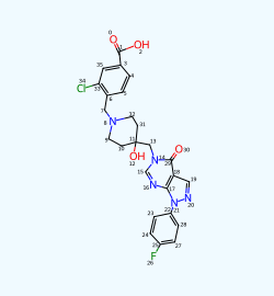 O=C(O)c1ccc(CN2CCC(O)(Cn3cnc4c(cnn4-c4ccc(F)cc4)c3=O)CC2)c(Cl)c1